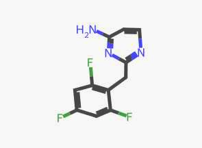 Nc1ccnc(Cc2c(F)cc(F)cc2F)n1